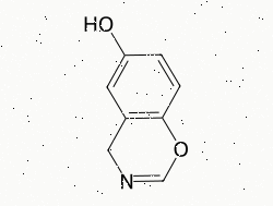 Oc1ccc2c(c1)CN=CO2